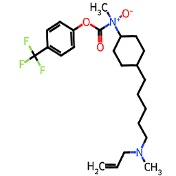 C=CCN(C)CCCCCC1CCC([N+](C)([O-])C(=O)Oc2ccc(C(F)(F)F)cc2)CC1